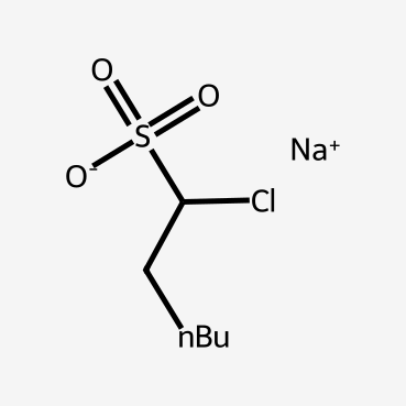 CCCCCC(Cl)S(=O)(=O)[O-].[Na+]